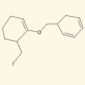 ICC1CCCC=C1OCC1C=CC=CC1